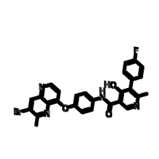 Cc1nc2c(Oc3ccc(NC(=O)c4cnc(C)c(-c5ccc(F)cc5)c4O)cc3)ccnc2cc1Br